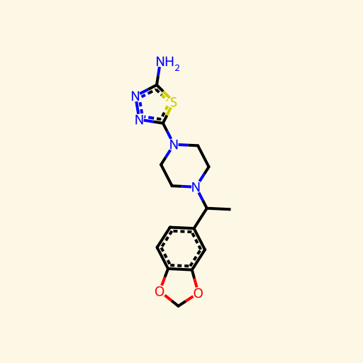 CC(c1ccc2c(c1)OCO2)N1CCN(c2nnc(N)s2)CC1